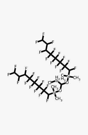 C[Si](C)(OC(O[Si](C)(C)C(F)C(F)(F)C(F)(F)C(F)(F)C(F)(F)C(F)C(F)C(F)F)[SiH2]Cl)C(F)C(F)(F)C(F)(F)C(F)(F)C(F)(F)C(F)C(F)C(F)F